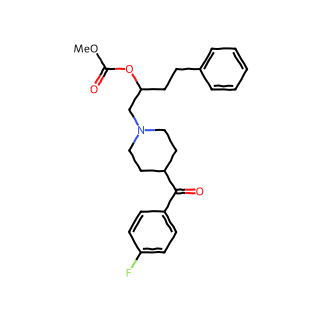 COC(=O)OC(CCc1ccccc1)CN1CCC(C(=O)c2ccc(F)cc2)CC1